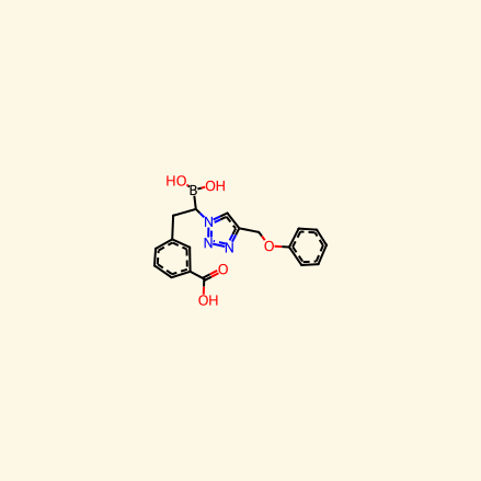 O=C(O)c1cccc(CC(B(O)O)n2cc(COc3ccccc3)nn2)c1